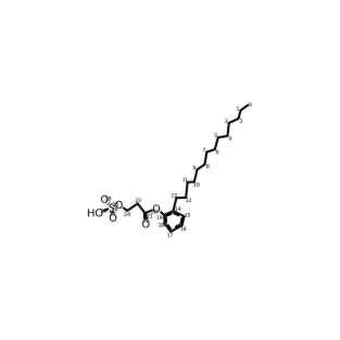 CCCCCCCCCCCCCCc1ccccc1OC(=O)CCOS(=O)(=O)O